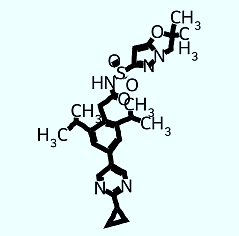 CC(C)c1cc(-c2cnc(C3CC3)nc2)cc(C(C)C)c1CC(=O)NS(=O)(=O)c1cc2n(n1)CC(C)(C)O2